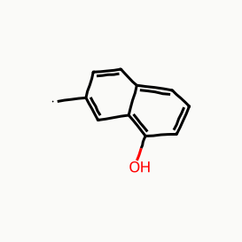 [CH2]c1ccc2cccc(O)c2c1